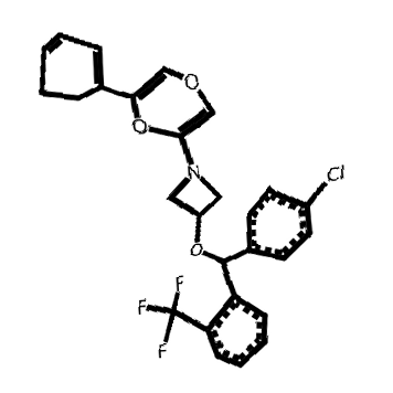 FC(F)(F)c1ccccc1C(OC1CN(C2=COC=C(C3=CC=CCC3)O2)C1)c1ccc(Cl)cc1